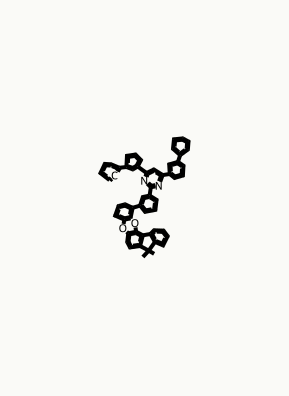 CC1(C)c2ccccc2-c2c1ccc1c2Oc2c(cccc2-c2cccc(-c3nc(-c4cccc(-c5ccccc5)c4)cc(-c4cccc(-c5ccccc5)c4)n3)c2)O1